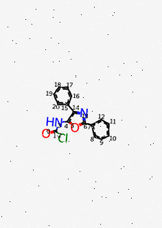 O=C(Cl)Nc1oc(-c2ccccc2)nc1-c1ccccc1